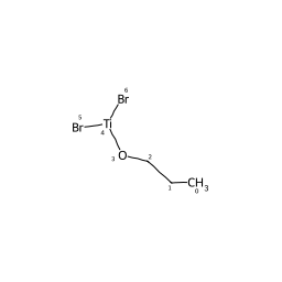 CCC[O][Ti]([Br])[Br]